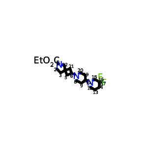 CCOC(=O)N1CCC2(CC(N3CCC(N4CCCC(F)(F)C4)CC3)C2)C1